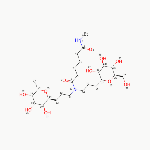 CCNC(=O)CCCCC(=O)N(CCC[C@@H]1O[C@@H](C)[C@@H](O)[C@@H](O)[C@@H]1O)CCC[C@H]1O[C@H](CO)[C@@H](O)[C@H](O)[C@H]1O